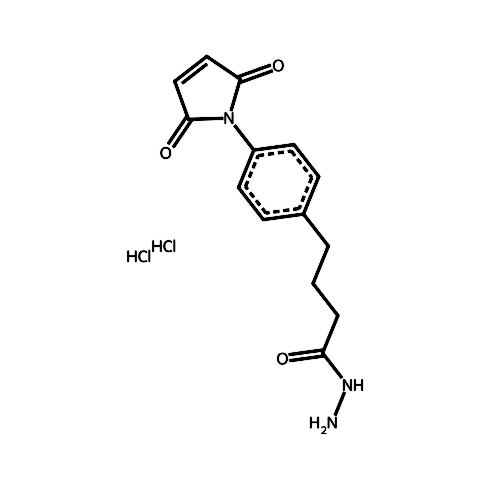 Cl.Cl.NNC(=O)CCCc1ccc(N2C(=O)C=CC2=O)cc1